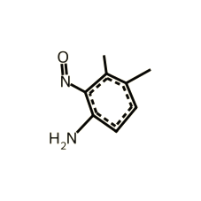 Cc1ccc(N)c(N=O)c1C